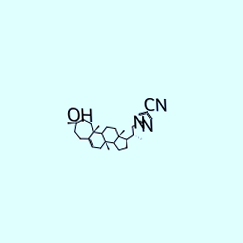 C[C@@H](Cn1cc(C#N)cn1)[C@H]1CCC2[C@]3(C)CC=C4CC[C@](C)(O)CC[C@]4(C)C3CC[C@@]21C